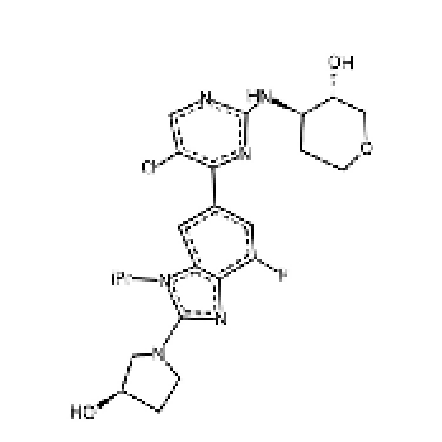 CC(C)n1c(N2CC[C@@H](O)C2)nc2c(F)cc(-c3nc(N[C@@H]4CCOC[C@H]4O)ncc3Cl)cc21